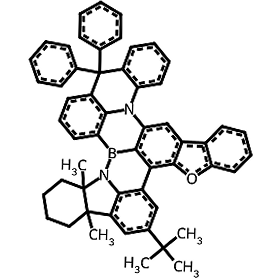 CC(C)(C)c1cc2c3c(c1)C1(C)CCCCC1(C)N3B1c3cccc4c3N(c3ccccc3C4(c3ccccc3)c3ccccc3)c3cc4c(oc5ccccc54)c-2c31